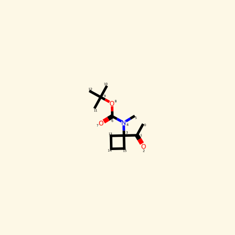 CC(=O)C1(N(C)C(=O)OC(C)(C)C)CCC1